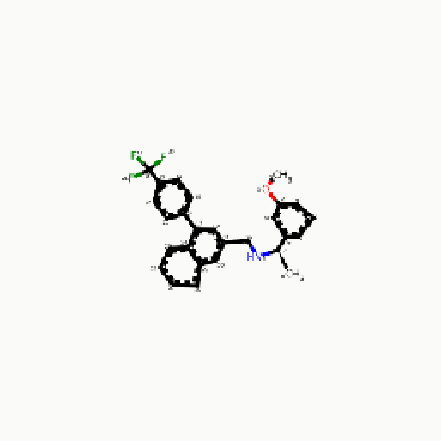 COc1cccc([C@@H](C)NCc2cc(-c3ccc(C(F)(F)F)cc3)c3ccccc3c2)c1